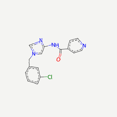 O=C(Nc1cn(Cc2cccc(Cl)c2)cn1)c1ccncc1